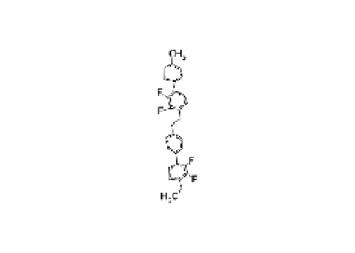 CCc1ccc(-c2ccc(CCc3ccc(-c4ccc(C)cc4)c(F)c3F)cc2)c(F)c1F